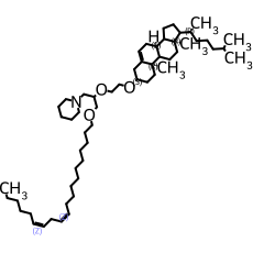 CCCCC/C=C\C/C=C\CCCCCCCCCCOCC(CN1CCCCC1)OCCO[C@H]1CC[C@@]2(C)C(=CC[C@H]3C4CCC([C@H](C)CCCC(C)C)[C@@]4(C)CCC32)C1